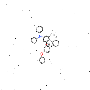 Cc1cc(N(c2ccccc2)c2ccccc2)cc(C)c1-c1[c]cccc1-c1ccc(Oc2ccccc2)cc1